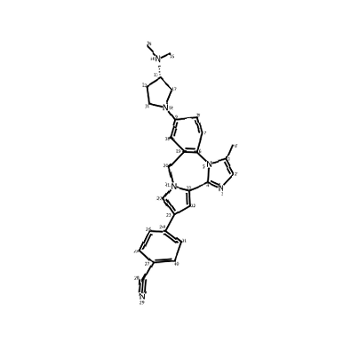 Cc1cnc2n1-c1ccc(N3CC[C@H](N(C)C)C3)cc1Cn1cc(-c3ccc(C#N)cc3)cc1-2